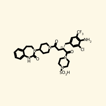 Nc1c(Cl)cc(C[C@@H](CC(=O)N2CCC(N3CCc4ccccc4NC3=O)CC2)C(=O)N2CCN(S(=O)(=O)O)CC2)cc1C(F)(F)F